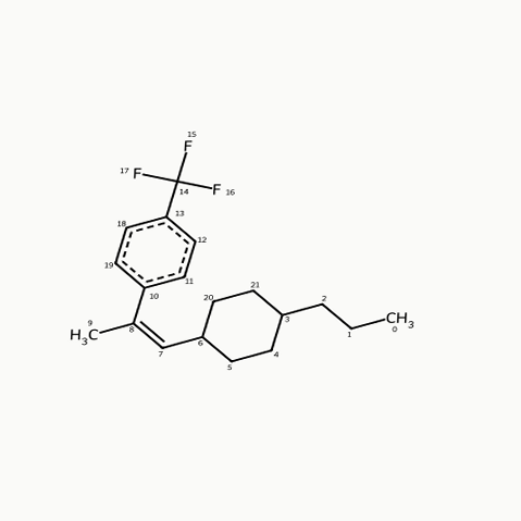 CCCC1CCC(C=C(C)c2ccc(C(F)(F)F)cc2)CC1